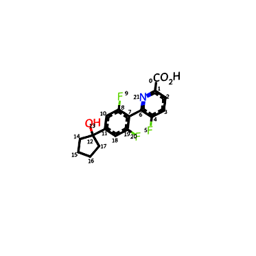 O=C(O)c1ccc(F)c(-c2c(F)cc(C3(O)CCCC3)cc2F)n1